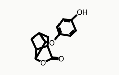 O=C1OC2C3CC(CC13)C2Oc1ccc(O)cc1